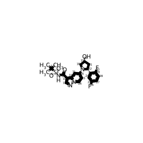 CC(C)(C)S(=O)(=O)NC(=O)c1cnn2ccc(N3C[C@H](O)C[C@@H]3c3cc(F)ccc3F)cc12